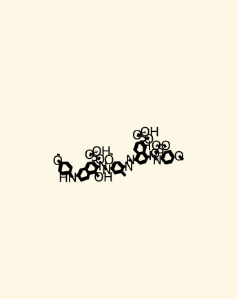 COc1ccc(Nc2ccc3c(O)c(N=Nc4cc(C)c(N=Nc5ccc(N=Nc6ccc(OC)cc6S(=O)(=O)O)c6cc(S(=O)(=O)O)ccc56)cc4OC)c(S(=O)(=O)O)cc3c2)cc1